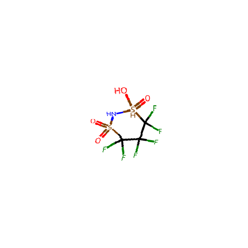 O=S1(=O)N[SH](=O)(O)C(F)(F)C(F)(F)C1(F)F